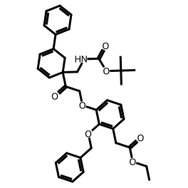 CCOC(=O)Cc1cccc(OCC(=O)C2(CNC(=O)OC(C)(C)C)C=CC=C(c3ccccc3)C2)c1OCc1ccccc1